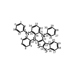 c1ccc(N2c3ccccc3B3c4sc5sc6ccccc6c5c4N(c4ccccc4)c4cccc2c43)cc1